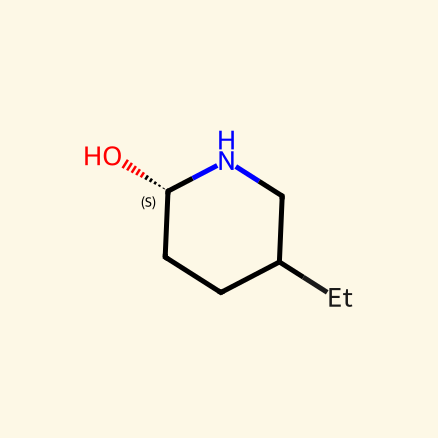 CCC1CC[C@H](O)NC1